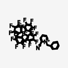 Fc1c(F)c(F)c([B-](c2c(F)c(F)c(F)c(F)c2F)(c2c(F)c(F)c(F)c(F)c2F)c2c(F)c(F)c(F)c(F)c2F)c(F)c1F.N#Cc1cccc[n+]1Cc1ccccc1